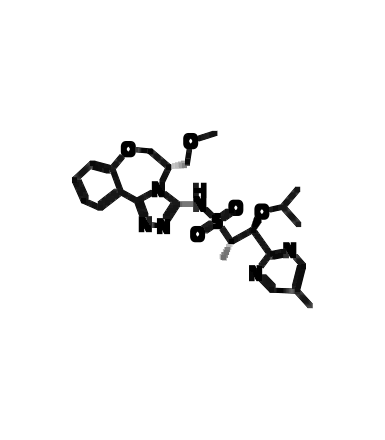 COC[C@H]1COc2ccccc2-c2nnc(NS(=O)(=O)[C@@H](C)[C@@H](OC(C)C)c3ncc(C)cn3)n21